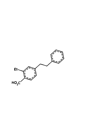 CCc1cc(CCc2ccccc2)ccc1C(=O)O